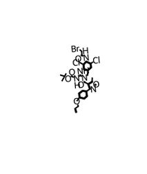 C=CCOc1ccc(-c2noc(C)c2C(=O)N(Cc2cc(Cl)c(NC(=O)CBr)c(Cl)c2)C(=N)NC(=O)OC(C)(C)C)cc1